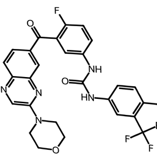 O=C(Nc1ccc(F)c(C(=O)c2ccc3ncc(N4CCOCC4)nc3c2)c1)Nc1ccc(F)c(C(F)(F)F)c1